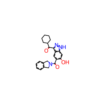 O=C(c1n[nH]c2cc(O)c(C(=O)N3Cc4ccccc4C3)cc12)C1CCCCC1